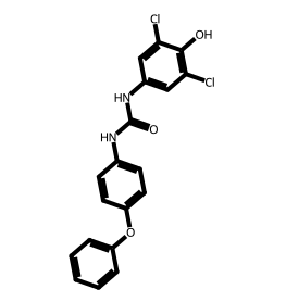 O=C(Nc1ccc(Oc2ccccc2)cc1)Nc1cc(Cl)c(O)c(Cl)c1